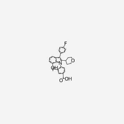 O=C(O)c1ccc(-n2c(C3CCOCC3)c(-c3ccc(F)cc3)c3cccc(O)c32)c(F)c1